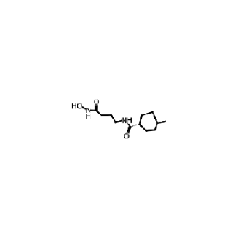 C[C@H]1CC[C@H](C(=O)NCCCC(=O)NO)CC1